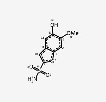 COc1cc2sc(S(N)(=O)=O)cc2cc1O